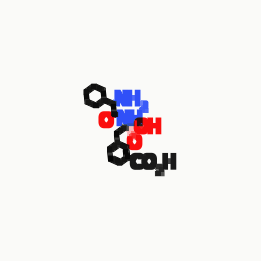 N[C@@H](C(=O)N[C@H]1Cc2cccc(C(=O)O)c2OB1O)C1CCCCC1